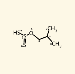 CC(C)COS(=S)S